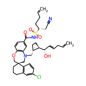 C=CC/C=C/[C@H](O)[C@@H]1CC[C@H]1CN1C[C@@]2(CCCc3cc(Cl)ccc32)COc2ccc(C(=O)NS(=O)(=O)[C@@H](CC#N)CCC=C)cc21